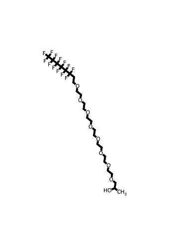 CC(O)COCCOCCOCCOCCOCCOCCOCCOCCC(F)(F)C(F)(F)C(F)(F)C(F)(F)C(F)(F)C(F)(F)F